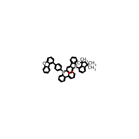 CC1(C)CC(C)(C)c2c(-n3c4ccccc4c4cc(N(c5ccc(-c6cccc7oc8ccccc8c67)cc5)c5ccccc5-c5ccccc5)ccc43)cccc21